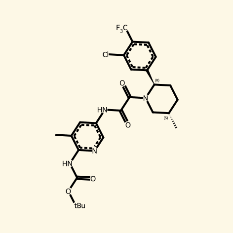 Cc1cc(NC(=O)C(=O)N2C[C@@H](C)CC[C@@H]2c2ccc(C(F)(F)F)c(Cl)c2)cnc1NC(=O)OC(C)(C)C